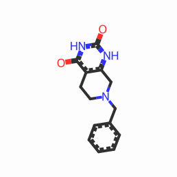 O=c1[nH]c2c(c(=O)[nH]1)CCN(Cc1ccccc1)C2